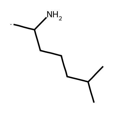 [CH2]C(N)CCCC(C)C